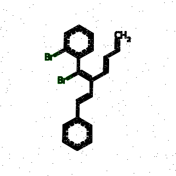 C=CC=CC(C=Cc1ccccc1)=C(Br)c1ccccc1Br